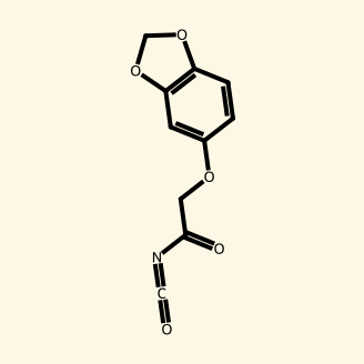 O=C=NC(=O)COc1ccc2c(c1)OCO2